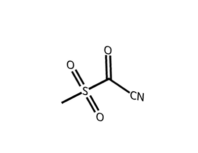 CS(=O)(=O)C(=O)C#N